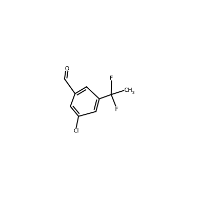 CC(F)(F)c1cc(Cl)cc(C=O)c1